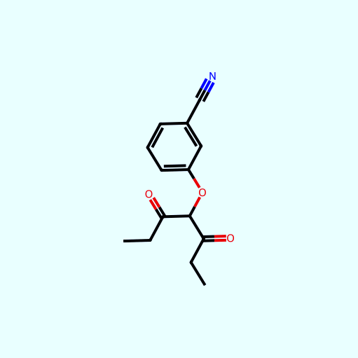 CCC(=O)C(Oc1cccc(C#N)c1)C(=O)CC